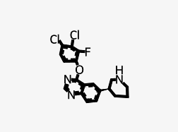 Fc1c(Oc2ncnc3ccc([C@@H]4CCCNC4)cc23)ccc(Cl)c1Cl